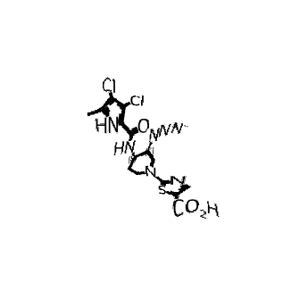 Cc1[nH]c(C(=O)N[C@@H]2CCN(c3ncc(C(=O)O)s3)C[C@@H]2N=[N+]=[N-])c(Cl)c1Cl